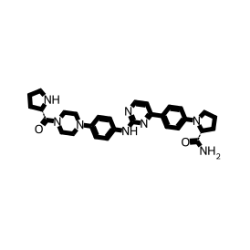 NC(=O)[C@H]1CCCN1c1ccc(-c2ccnc(Nc3ccc(N4CCN(C(=O)[C@@H]5CCCN5)CC4)cc3)n2)cc1